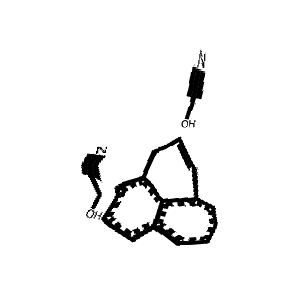 C1=Cc2cccc3cccc(c23)C1.N#CO.N#CO